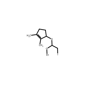 CCOC(CI)OC1CCC(C)=C1C